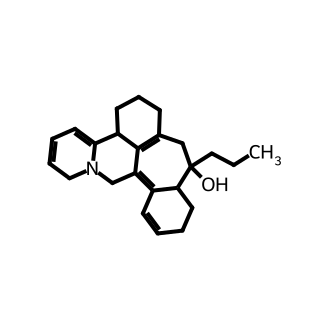 CCCC1(O)CC2=C3C(=C4C=CCCC41)CN1CC=CC=C1C3CCC2